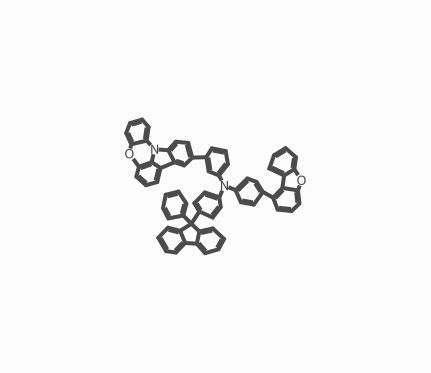 c1ccc(C2(c3ccc(N(c4ccc(-c5cccc6oc7ccccc7c56)cc4)c4cccc(-c5ccc6c(c5)c5cccc7c5n6-c5ccccc5O7)c4)cc3)c3ccccc3-c3ccccc32)cc1